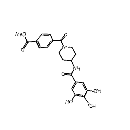 COC(=O)c1ccc(C(=O)N2CCC(NC(=O)c3cc(O)c(O)c(O)c3)CC2)cc1